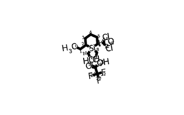 CCC1CCCC[Si]1(CC)CC.ClCCl.O.O=C(O)C(F)(F)F